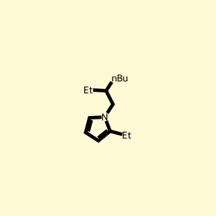 CCCCC(CC)Cn1cccc1CC